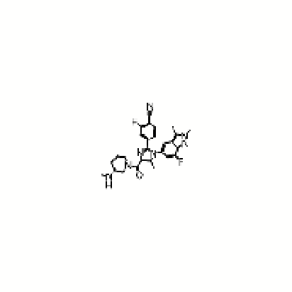 CN[C@@H]1CCCN(C(=O)c2nc(-c3ccc(C#N)c(F)c3)n(-c3cc(F)c4nn(C)c(C)c4c3)c2C)C1